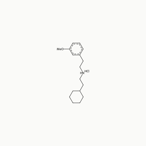 COc1cccc(CCNCCC2CCCCC2)c1.Cl